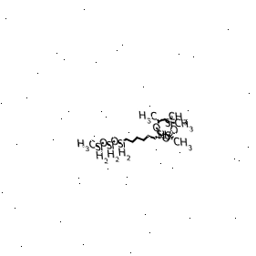 C[SiH2]O[SiH2]O[SiH2]CCCCCC[SiH]1OC(C)C[Si](C)(C)O[SiH](C)O1